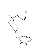 CCCC1(C)CC(Cn2ccnn2)C1